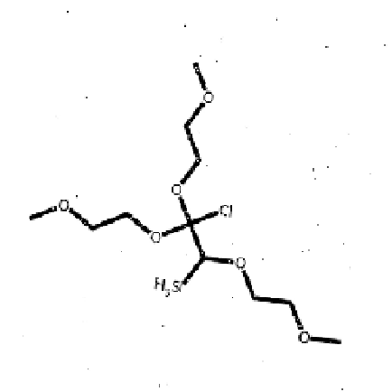 COCCOC([SiH3])C(Cl)(OCCOC)OCCOC